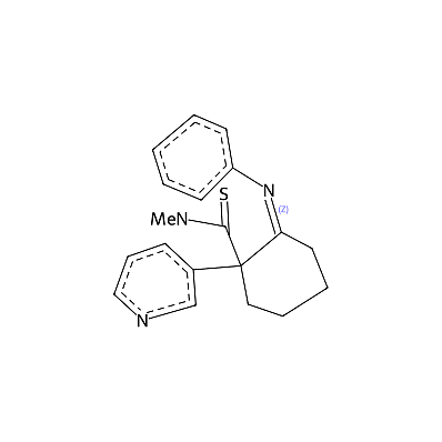 CNC(=S)C1(c2cccnc2)CCCC/C1=N/c1ccccc1